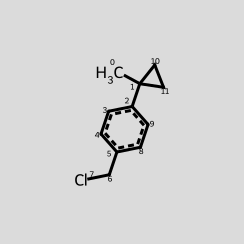 CC1(c2ccc(CCl)cc2)CC1